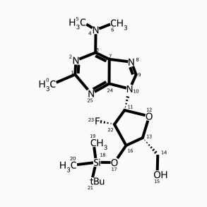 Cc1nc(N(C)C)c2ncn([C@@H]3O[C@H](CO)C(O[Si](C)(C)C(C)(C)C)[C@@H]3F)c2n1